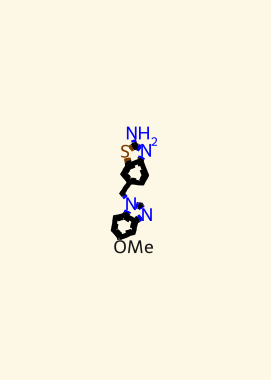 COc1ccc2c(c1)ncn2Cc1ccc2nc(N)sc2c1